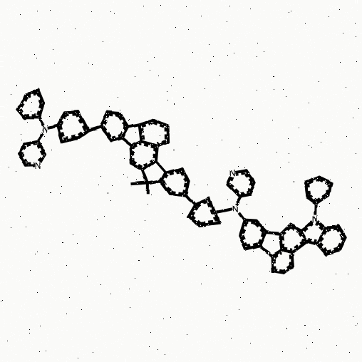 CC1(C)c2cc(-c3cccc(N(c4cccnc4)c4ccc5c(c4)-c4cc6c(c7cccc-5c47)c4ccccc4n6-c4ccccc4)c3)ccc2-c2c1cc1c3c(cccc23)-c2ccc(-c3ccc(N(c4ccccc4)c4cccnc4)cc3)cc2-1